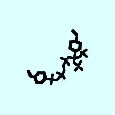 C=Cc1ccc([Si](C)(C)C[Si](C)(C)CC[Si](C)(C)C[Si](C[Si](C)(C)C)(C[Si](C)(C)C)c2ccc(C=C)cc2)cc1